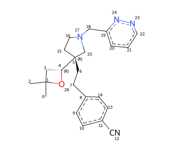 CC1(C)C[C@H]([C@]2(CCc3ccc(C#N)cc3)CCN(Cc3cccnn3)C2)O1